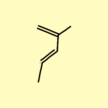 C=C(C)/C=[C]/C